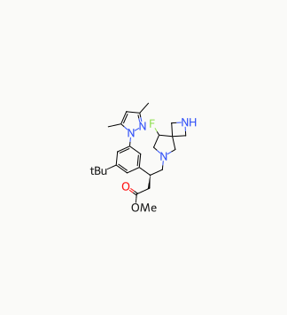 COC(=O)C[C@H](CN1CC(F)C2(CNC2)C1)c1cc(-n2nc(C)cc2C)cc(C(C)(C)C)c1